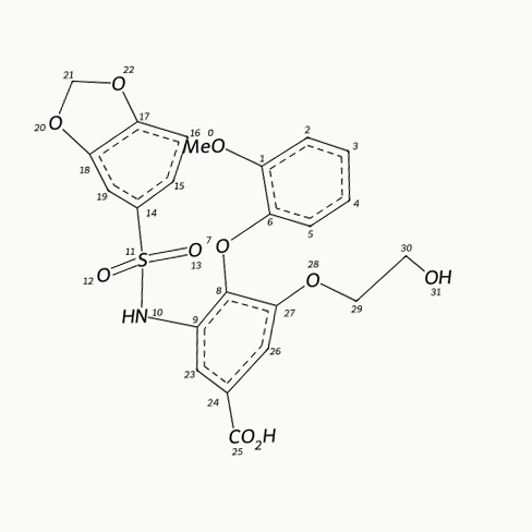 COc1ccccc1Oc1c(NS(=O)(=O)c2ccc3c(c2)OCO3)cc(C(=O)O)cc1OCCO